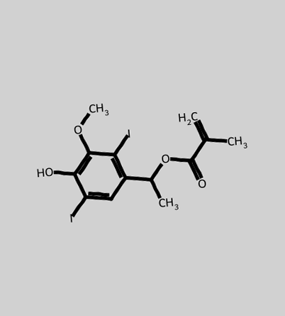 C=C(C)C(=O)OC(C)c1cc(I)c(O)c(OC)c1I